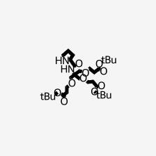 CC(C)(C)OC(=O)CCOCC(COCCC(=O)OC(C)(C)C)(COCCC(=O)OC(C)(C)C)NC(=O)C1CCCN1